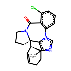 O=C(O)c1ncn2c1[C@]1([C@@H]3C=CCCC3)CCCN1C(=O)c1c(Cl)cccc1-2